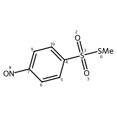 CSS(=O)(=O)c1ccc(N=O)cc1